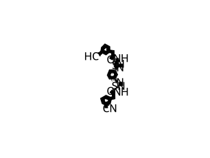 C#Cc1cccc(CC(=O)Nc2nnc([C@H]3CCC[C@H](c4nnc(NC(=O)Cc5cccc(C#N)c5)s4)C3)s2)c1